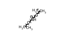 CC(C)CCOCCNC(=O)CCOCCC(C)C